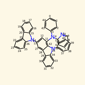 c1ccc(N(c2ccccn2)c2cc(-n3c4ccccc4c4ccccc43)cc3c4ccccc4n(-c4ccccc4)c23)cc1